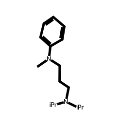 CC(C)N(CCCN(C)c1ccccc1)C(C)C